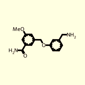 COc1cc(COc2cccc(CN)c2)cc(C(N)=O)c1